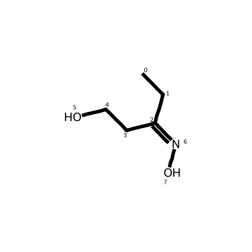 CC/C(CCO)=N/O